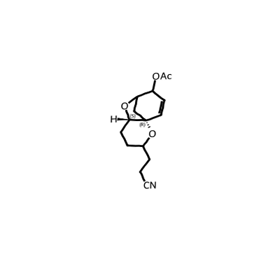 CC(=O)OC1C=C[C@]23CC1O[C@H]2CCC(CCC#N)O3